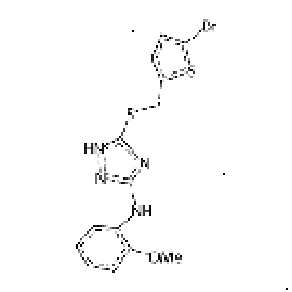 COc1ccccc1Nc1n[nH]c(SCc2ccc(Br)s2)n1